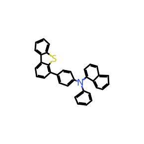 c1ccc(N(c2ccc(-c3cccc4c3sc3ccccc34)cc2)c2cccc3ccccc23)cc1